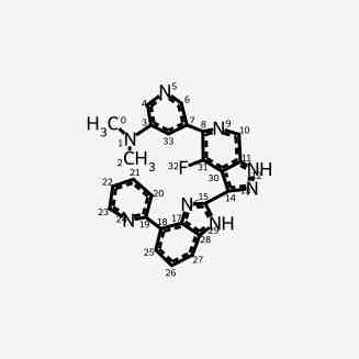 CN(C)c1cncc(-c2ncc3[nH]nc(-c4nc5c(-c6ccccn6)cccc5[nH]4)c3c2F)c1